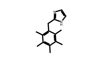 Cc1c(C)c(C)c(Cc2ncc[nH]2)c(C)c1C